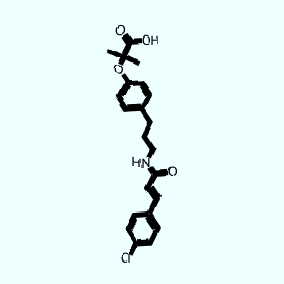 CC(C)(Oc1ccc(CCCNC(=O)/C=C/c2ccc(Cl)cc2)cc1)C(=O)O